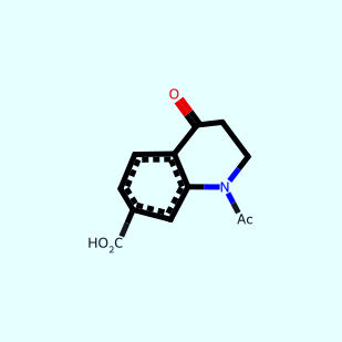 CC(=O)N1CCC(=O)c2ccc(C(=O)O)cc21